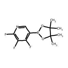 CC1(C)OB(c2cnc(F)c(F)c2F)OC1(C)C